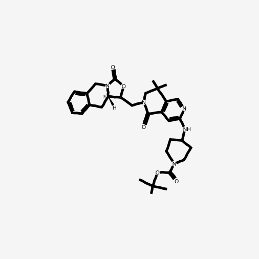 CC(C)(C)OC(=O)N1CCC(Nc2cc3c(cn2)C(C)(C)CN(CC2OC(=O)N4Cc5ccccc5C[C@@H]24)C3=O)CC1